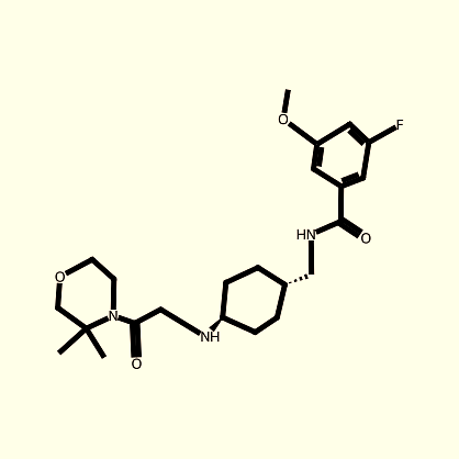 COc1cc(F)cc(C(=O)NC[C@H]2CC[C@H](NCC(=O)N3CCOCC3(C)C)CC2)c1